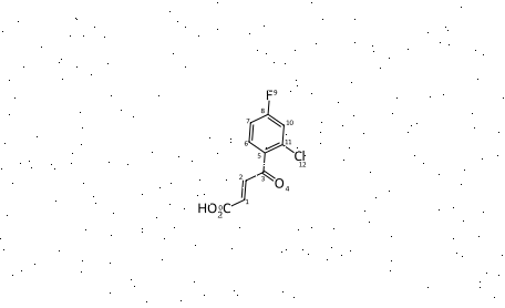 O=C(O)C=CC(=O)c1ccc(F)cc1Cl